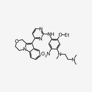 CCOc1cc(N(C)CCN(C)C)c([N+](=O)[O-])cc1Nc1nccc(-c2c3n(c4ccccc24)CCOC3)n1